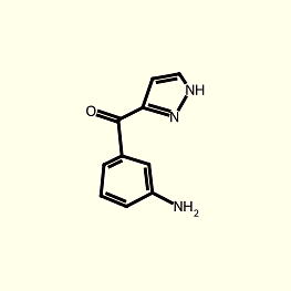 Nc1cccc(C(=O)c2cc[nH]n2)c1